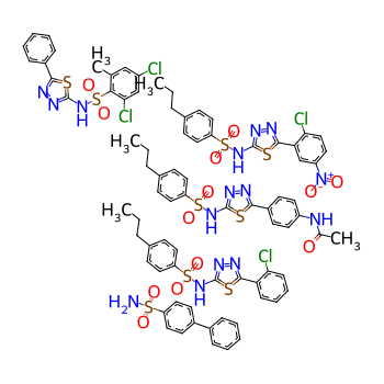 CCCc1ccc(S(=O)(=O)Nc2nnc(-c3cc([N+](=O)[O-])ccc3Cl)s2)cc1.CCCc1ccc(S(=O)(=O)Nc2nnc(-c3ccc(NC(C)=O)cc3)s2)cc1.CCCc1ccc(S(=O)(=O)Nc2nnc(-c3ccccc3Cl)s2)cc1.Cc1cc(Cl)cc(Cl)c1S(=O)(=O)Nc1nnc(-c2ccccc2)s1.NS(=O)(=O)c1ccc(-c2ccccc2)cc1